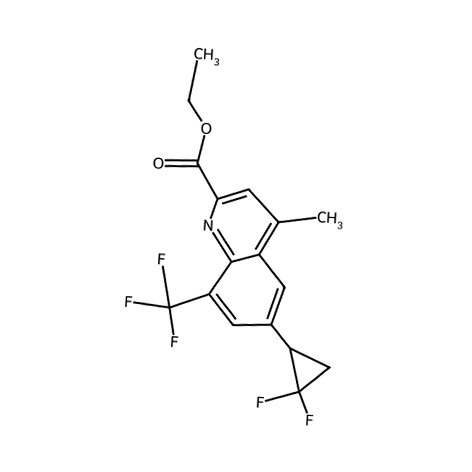 CCOC(=O)c1cc(C)c2cc(C3CC3(F)F)cc(C(F)(F)F)c2n1